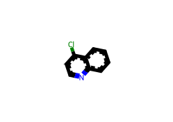 Clc1[c]cnc2ccccc12